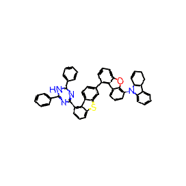 C1=Cc2c(c3ccccc3n2-c2cccc3c2oc2cccc(-c4ccc5c(c4)sc4cccc(C6=NC(c7ccccc7)NC(c7ccccc7)=N6)c45)c23)CC1